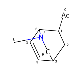 CC(=O)C1CC2C=CC1N(C)C2